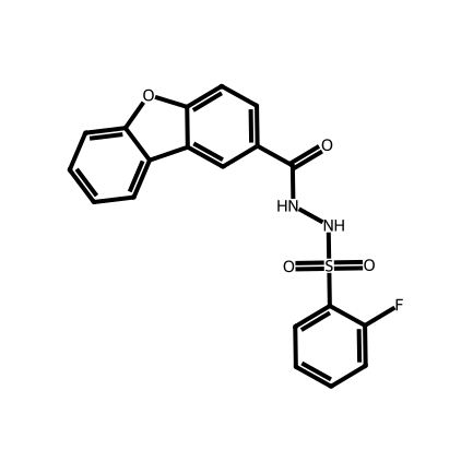 O=C(NNS(=O)(=O)c1ccccc1F)c1ccc2oc3ccccc3c2c1